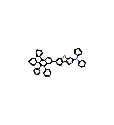 c1ccc(-c2c(-c3ccccc3)c(-c3ccccc3)c3cc(-c4ccc5c(c4)oc4cc(N(c6ccccc6)c6ccccc6)ccc45)ccc3c2-c2ccccc2)cc1